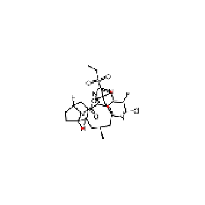 CCS(=O)(=O)c1nc2c3c(nc(Cl)c(F)c3n1)C[C@@H](C)C[C@@H]1[C@@H]3CC[C@H](CN21)N3C(=O)OC(C)(C)C